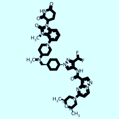 C[C@H]1CN(c2ccn3ncc(C(=O)Nc4cn([C@H]5CC[C@H](CN(C)C6CCN(c7cccc8c7n(C)c(=O)n8C7CCC(=O)NC7=O)CC6)CC5)nc4C(F)F)c3n2)C[C@H](C)O1